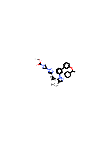 CC(Oc1cccc(-c2cccc(-n3ncc(C(=O)O)c3[C@@H]3C[C@H]3c3cn(C4CN(C(=O)OC(C)(C)C)C4)nn3)c2)c1)C1CCCCC1